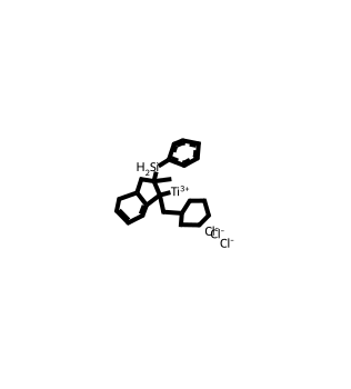 CC1([SiH2]c2ccccc2)CC2CC=CC=C2[C]1([Ti+3])CC1CCCCC1.[Cl-].[Cl-].[Cl-]